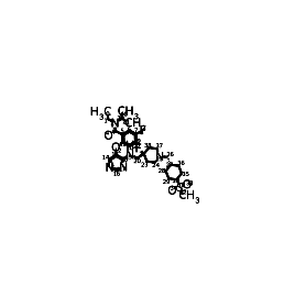 CCN(C(=O)c1cc(F)ccc1Oc1cncnc1NCC1(F)CCN(C[C@H]2CC[C@H](S(C)(=O)=O)CC2)CC1)C(C)C